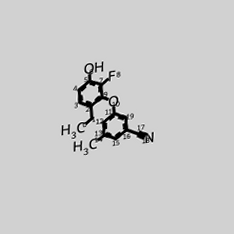 CCc1ccc(O)c(F)c1Oc1cc(C)cc(C#N)c1